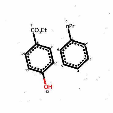 CCCc1ccccc1.CCOC(=O)c1ccc(O)cc1